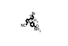 Cc1cc(C(N)=O)ccc1-n1c(CC#N)ccc1-c1ccc(Br)s1